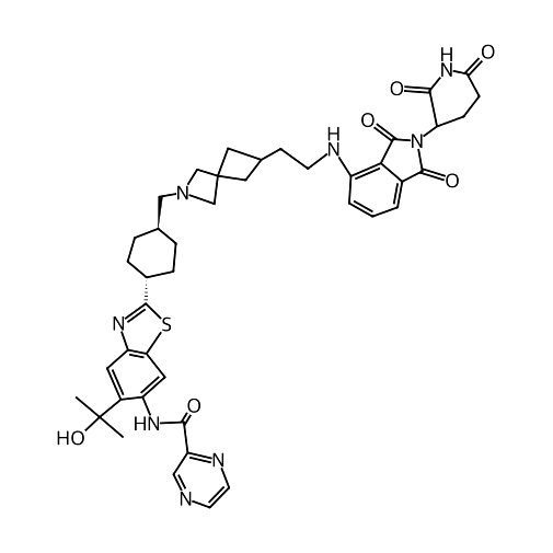 CC(C)(O)c1cc2nc([C@H]3CC[C@H](CN4CC5(CC(CCNc6cccc7c6C(=O)N(C6CCC(=O)NC6=O)C7=O)C5)C4)CC3)sc2cc1NC(=O)c1cnccn1